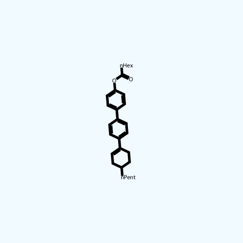 CCCCCCC(=O)Oc1ccc(-c2ccc(C3=CCC(CCCCC)CC3)cc2)cc1